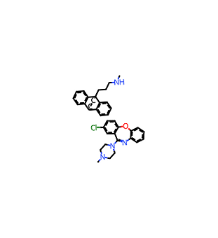 CN1CCN(C2=Nc3ccccc3Oc3ccc(Cl)cc32)CC1.CNCCCC12CCC(c3ccccc31)c1ccccc12